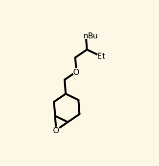 CCCCC(CC)COCC1CCC2OC2C1